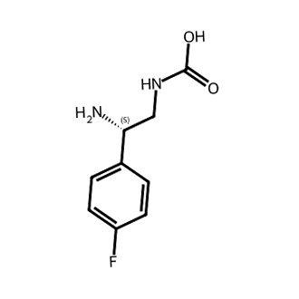 N[C@H](CNC(=O)O)c1ccc(F)cc1